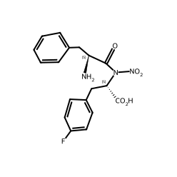 N[C@@H](Cc1ccccc1)C(=O)N([C@@H](Cc1ccc(F)cc1)C(=O)O)[N+](=O)[O-]